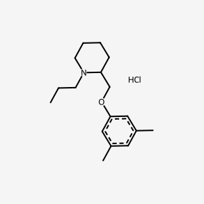 CCCN1CCCCC1COc1cc(C)cc(C)c1.Cl